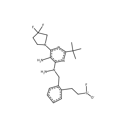 CC(C)(C)c1nc(N(N)Cc2ccccc2CC[S+]([O-])F)c(N)c(N2CCC(F)(F)C2)n1